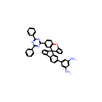 Nc1cc(N)cc(-c2ccc3c(c2)C2(c4ccccc4Oc4ccc(-c5nc(-c6ccccc6)nc(-c6ccccc6)n5)cc42)c2ccccc2-3)c1